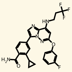 NC(=O)c1ccc(-c2cnc3c(NCCC(F)(F)F)cc(Oc4cccc(F)c4)nn23)cc1C1CC1